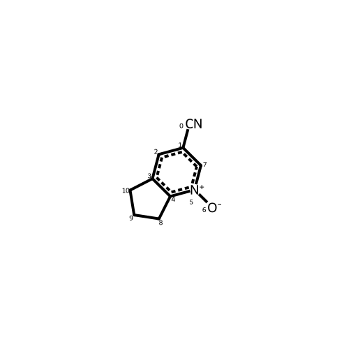 N#Cc1cc2c([n+]([O-])c1)CCC2